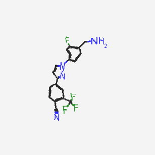 N#Cc1ccc(-c2ccn(-c3ccc(CN)c(F)c3)n2)cc1C(F)(F)F